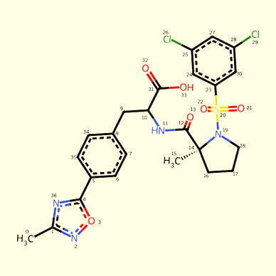 Cc1noc(-c2ccc(CC(NC(=O)[C@]3(C)CCCN3S(=O)(=O)c3cc(Cl)cc(Cl)c3)C(=O)O)cc2)n1